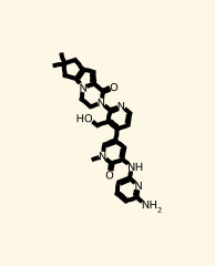 Cn1cc(-c2ccnc(N3CCn4c(cc5c4CC(C)(C)C5)C3=O)c2CO)cc(Nc2cccc(N)n2)c1=O